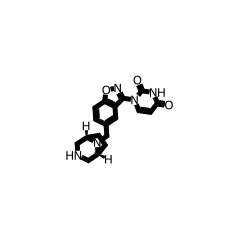 O=c1ccn(-c2noc3ccc(CN4[C@@H]5CC[C@H]4CNC5)cc23)c(=O)[nH]1